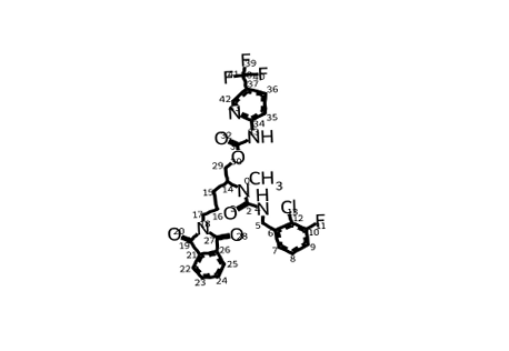 CN(C(=O)NCc1cccc(F)c1Cl)C(CCCN1C(=O)c2ccccc2C1=O)COC(=O)Nc1ccc(C(F)(F)F)cn1